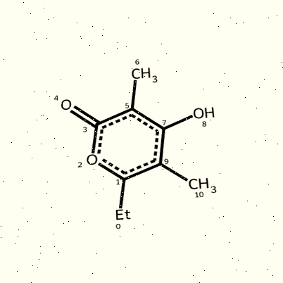 CCc1oc(=O)c(C)c(O)c1C